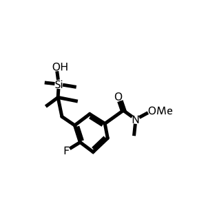 CON(C)C(=O)c1ccc(F)c(CC(C)(C)[Si](C)(C)O)c1